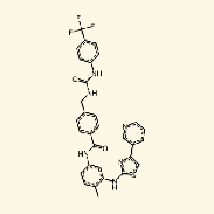 Cc1ccc(NC(=O)c2ccc(CNC(=O)Nc3ccc(C(F)(F)F)cc3)cc2)cc1Nc1nc(-c2cccnc2)cs1